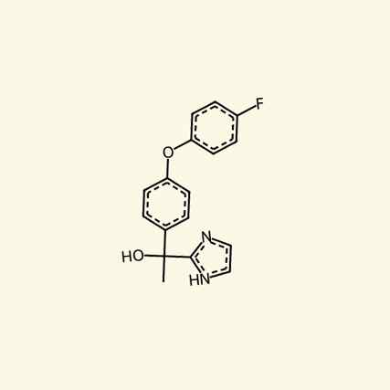 CC(O)(c1ccc(Oc2ccc(F)cc2)cc1)c1ncc[nH]1